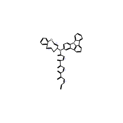 C=C/C=C\C(=C)C(=C)/C=C\C(=C)C(=C)/C=C\C(=C)N(c1ccc2c(c1)c1cccc3c4ccccc4n2c31)C1/C=C/Oc2ccccc2/C=C/C1